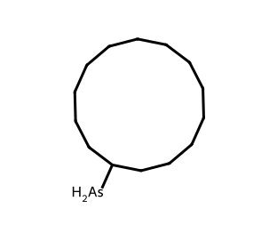 [AsH2]C1CCCCCCCCCCCCC1